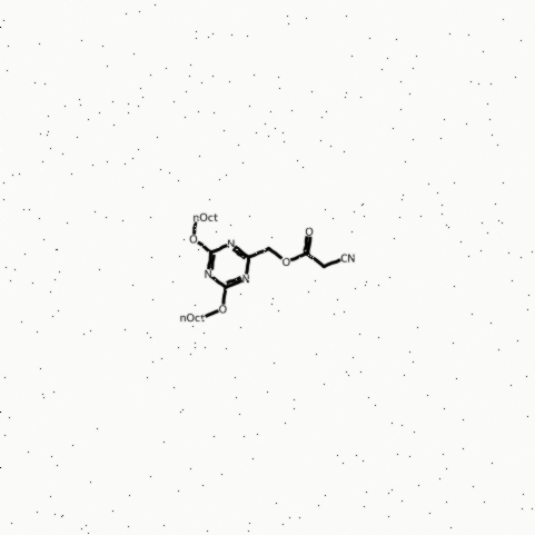 CCCCCCCCOc1nc(COC(=O)CC#N)nc(OCCCCCCCC)n1